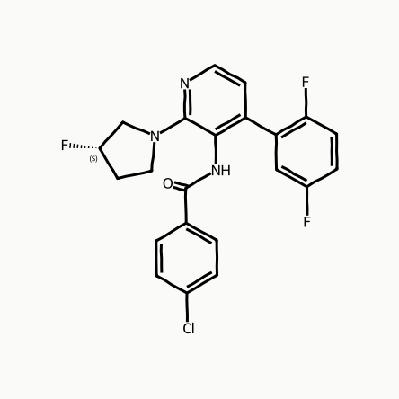 O=C(Nc1c(-c2cc(F)ccc2F)ccnc1N1CC[C@H](F)C1)c1ccc(Cl)cc1